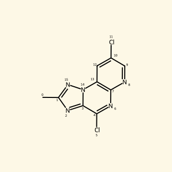 Cc1nc2c(Cl)nc3ncc(Cl)cc3n2n1